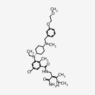 CCN(c1cc(Cl)cc(C(=O)NC/C(C(N)=O)=C(\C)NC)c1C)[C@H]1CC[C@H](N(C)Cc2cccc(OCCOC)c2)CC1